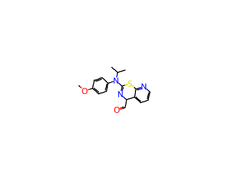 COc1ccc(N(C2=NC(C=O)c3cccnc3S2)C(C)C)cc1